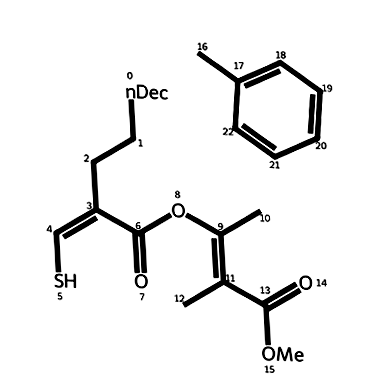 CCCCCCCCCCCCC(=CS)C(=O)OC(C)=C(C)C(=O)OC.Cc1ccccc1